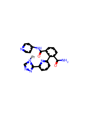 CC(C)n1cnnc1-c1cccc(-c2c(C(N)=O)cccc2C(=O)Nc2ccncc2)n1